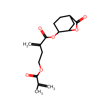 C=C(C)C(=O)OCCC(=C)C(=O)OC1CCC2CC1OC2=O